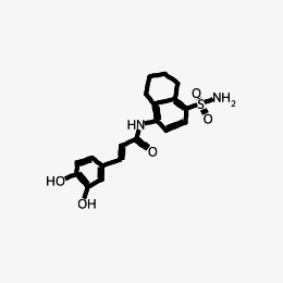 NS(=O)(=O)c1ccc(NC(=O)C=Cc2ccc(O)c(O)c2)c2c1CCCC2